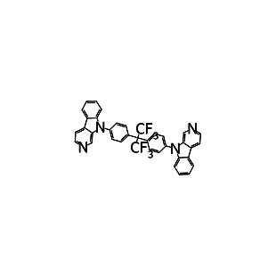 FC(F)(F)C(c1ccc(-n2c3ccccc3c3ccncc32)cc1)(c1ccc(-n2c3ccccc3c3ccncc32)cc1)C(F)(F)F